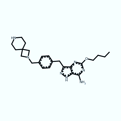 CCCCOc1nc(N)c2[nH]nc(Cc3ccc(CN4CC5(CCNCC5)C4)cc3)c2n1